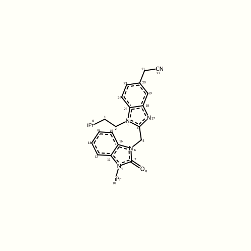 CC(C)CCn1c(Cn2c(=O)n(C(C)C)c3ccccc32)nc2cc(CC#N)ccc21